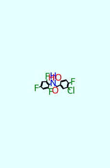 O=C(Nc1c(F)cc(F)cc1F)c1cc(Cl)c(F)cc1O